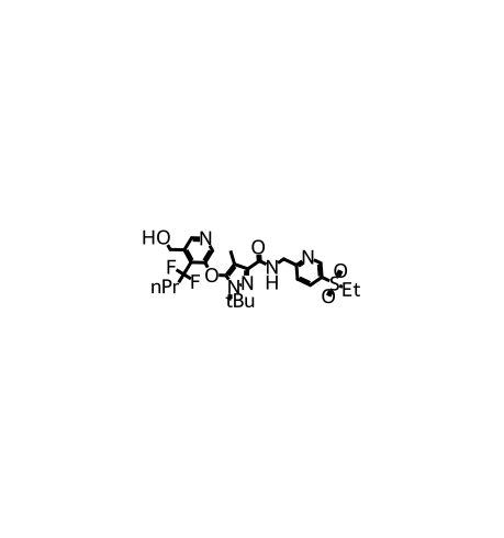 CCCC(F)(F)c1c(CO)cncc1Oc1c(C)c(C(=O)NCc2ccc(S(=O)(=O)CC)cn2)nn1C(C)(C)C